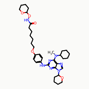 CN(c1nc(Nc2ccc(OCCCCCCC(=O)NOC3CCCCO3)cc2)nc2c1ncn2C1CCCCO1)C1CCCCC1